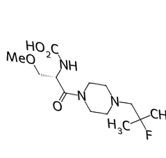 COC[C@H](NC(=O)O)C(=O)N1CCN(CC(C)(C)F)CC1